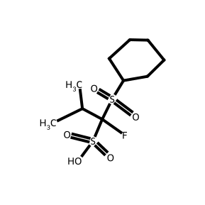 CC(C)C(F)(S(=O)(=O)O)S(=O)(=O)C1CCCCC1